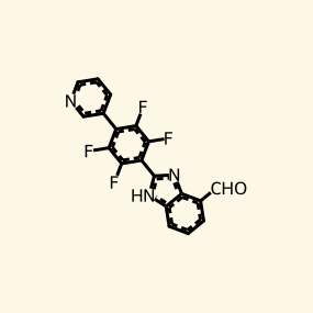 O=Cc1cccc2[nH]c(-c3c(F)c(F)c(-c4cccnc4)c(F)c3F)nc12